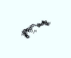 Cc1c(OC2CCC(CCCCN3[C@H](C)CN(c4ccc5c(C6CCC(=O)NC6=O)nn(C)c5c4)C[C@@H]3C)CC2)cccc1-c1ccc(N2CCc3cccc(C(=O)Nc4nc5ccccc5s4)c3C2)nc1C(=O)O